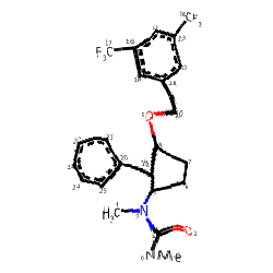 CNC(=O)N(C)C1CCC(OCc2cc(C(F)(F)F)cc(C(F)(F)F)c2)C1c1ccccc1